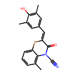 Cc1cc(C=C2Sc3cccc(C)c3N(C#N)C2=O)cc(C)c1O